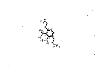 CCCc1ccc(CCC)c(C(F)F)c1C(F)F